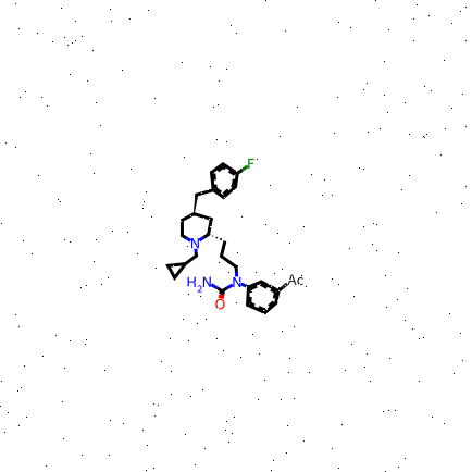 CC(=O)c1cccc(N(CCC[C@H]2C[C@H](Cc3ccc(F)cc3)CCN2CC2CC2)C(N)=O)c1